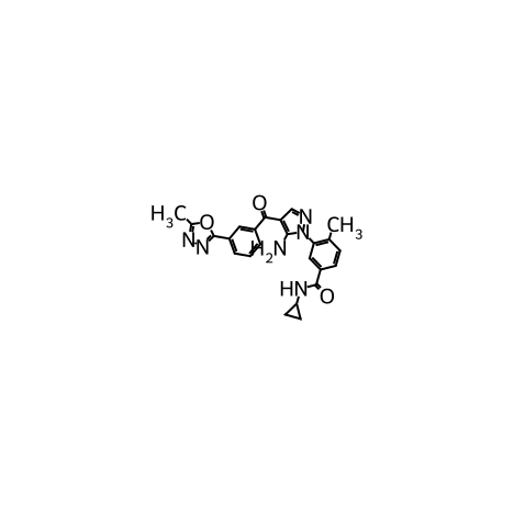 Cc1nnc(-c2cccc(C(=O)c3cnn(-c4cc(C(=O)NC5CC5)ccc4C)c3N)c2)o1